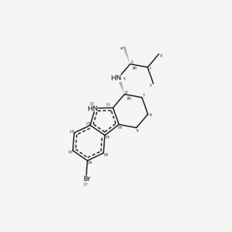 CC(C)[C@@H](C)N[C@@H]1CCCc2c1[nH]c1ccc(Br)cc21